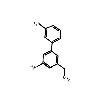 NCc1cc(N)cc(-c2cccc(N)c2)c1